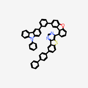 c1ccc(-c2ccc(-c3ccc4sc5c(-c6cccc7oc8ccc(-c9cccc(-c%10ccc%11c(c%10)c%10ccccc%10n%11-c%10ccccc%10)c9)cc8c67)ncnc5c4c3)cc2)cc1